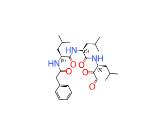 CC(C)C[C@H](NC(=O)[C@H](CC(C)C)NC(=O)[C@H](CC(C)C)NC(=O)Cc1ccccc1)C(=O)C=O